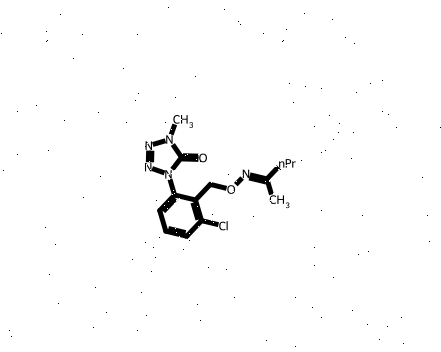 CCCC(C)=NOCc1c(Cl)cccc1-n1nnn(C)c1=O